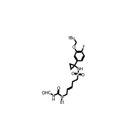 CCN(C/C=C/CCS(=O)(=O)NC1(c2ccc(F)c(OCC(C)(C)C)c2)CC1)C(=O)NC=O